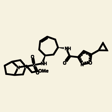 COCCN1C2CCC1CN(S(=O)(=O)N[C@H]1CC=CC[C@H](NC(=O)c3cc(C4CC4)on3)C1)C2